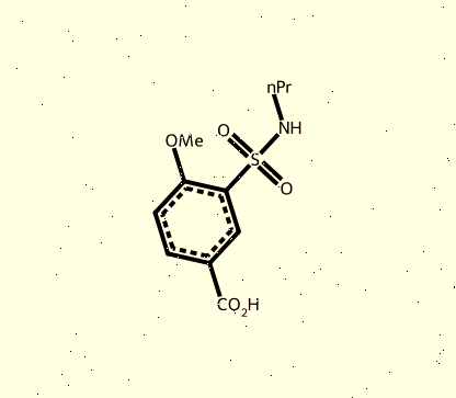 CCCNS(=O)(=O)c1cc(C(=O)O)ccc1OC